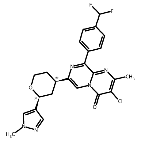 Cc1nc2c(-c3ccc(C(F)F)cc3)nc([C@@H]3CCO[C@H](c4cnn(C)c4)C3)cn2c(=O)c1Cl